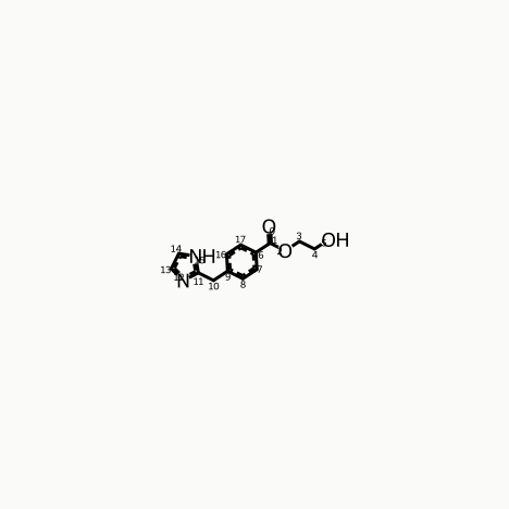 O=C(OCCO)c1ccc(Cc2ncc[nH]2)cc1